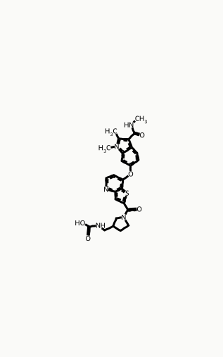 CNC(=O)c1c(C)n(C)c2cc(Oc3ccnc4cc(C(=O)N5CCC(CNC(=O)O)C5)sc34)ccc12